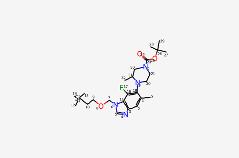 Cc1cc2ncn(COCC[Si](C)(C)C)c2c(F)c1N1CCN(C(=O)OC(C)(C)C)CC1C